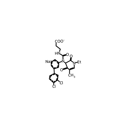 CCN1C=C(C)C(=O)C(N(C(=O)NCCC(=O)[O-])c2cccc(-c3ccc(Cl)c(Cl)c3)c2)C1=O.[Na+]